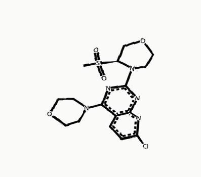 CS(=O)(=O)[C@H]1COCCN1c1nc(N2CCOCC2)c2ccc(Cl)nc2n1